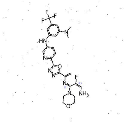 C=C(/N=C(\C(F)=C/N)N1CCOCC1)c1nnc(-c2ccc(Nc3cc(N(C)C)cc(C(F)(F)F)c3)cn2)o1